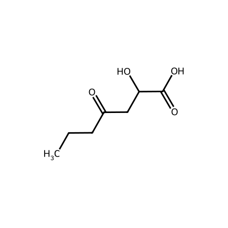 CCCC(=O)CC(O)C(=O)O